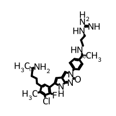 Cc1c(CCC[C@H](C)N)cc(-c2cc3cn(-c4ccc([C@H](C)NCCCNC(=N)N)cc4)c(=O)nc3[nH]2)c(F)c1Cl